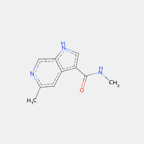 CNC(=O)c1c[nH]c2cnc(C)cc12